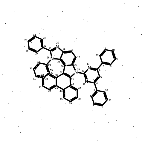 c1ccc(-c2cc(-c3ccccc3)nc(-n3c4ccc5nc(-c6ccccc6)n(-c6ccccc6)c5c4c4c5ccccc5c5ccccc5c43)n2)cc1